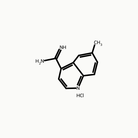 Cc1ccc2nccc(C(=N)N)c2c1.Cl